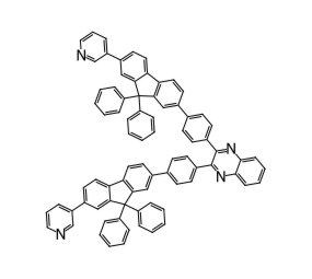 c1ccc(C2(c3ccccc3)c3cc(-c4ccc(-c5nc6ccccc6nc5-c5ccc(-c6ccc7c(c6)C(c6ccccc6)(c6ccccc6)c6cc(-c8cccnc8)ccc6-7)cc5)cc4)ccc3-c3ccc(-c4cccnc4)cc32)cc1